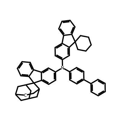 c1ccc(-c2ccc(N(c3ccc4c(c3)-c3ccccc3C43C4CCC5CC(C4)CC3C5)c3ccc4c(c3)C3(CCCCC3)c3ccccc3-4)cc2)cc1